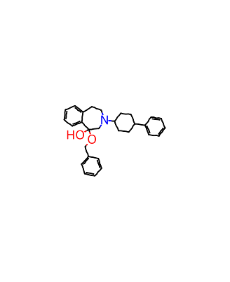 OC1(OCc2ccccc2)CN(C2CCC(c3ccccc3)CC2)CCc2ccccc21